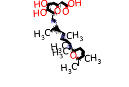 CC[C@H]1O[C@@H](/C(C)=C/C(C)(C)/C=C/[C@H]2[C@@H](C)[C@@H]2/C=C/[C@@H]2O[C@H](CC(=O)O)C[C@H](O)[C@H]2O)CC=C1C